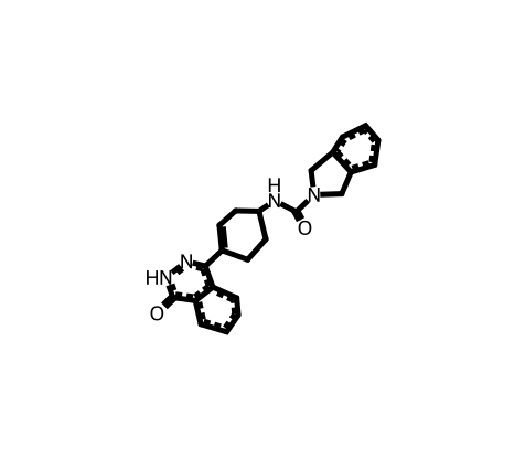 O=C(NC1CC=C(c2n[nH]c(=O)c3ccccc23)CC1)N1Cc2ccccc2C1